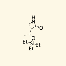 CC[Si](CC)(CC)O[C@H](C)[C@@H]1CNC1=O